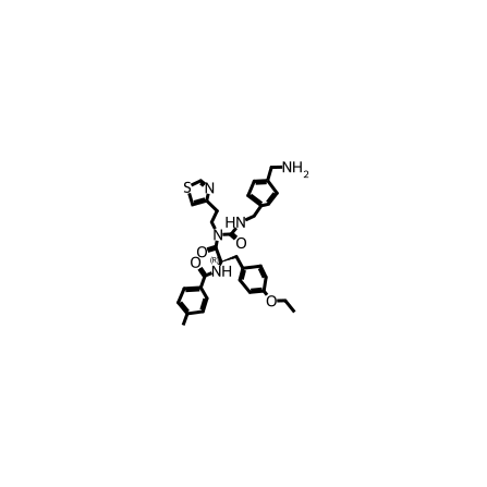 CCOc1ccc(C[C@@H](NC(=O)c2ccc(C)cc2)C(=O)N(CCc2cscn2)C(=O)NCc2ccc(CN)cc2)cc1